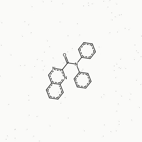 O=C(c1ncc2ccccc2n1)N(c1ccccc1)c1ccccc1